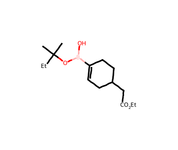 CCOC(=O)CC1CC=C(B(O)OC(C)(C)CC)CC1